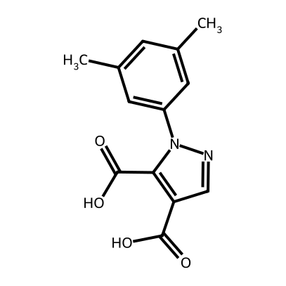 Cc1cc(C)cc(-n2ncc(C(=O)O)c2C(=O)O)c1